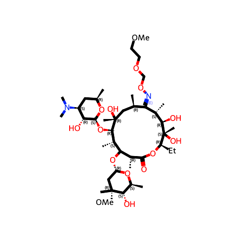 CC[C@H]1OC(=O)[C@H](C)C(O[C@H]2C[C@@](C)(OC)[C@@H](O)[C@H](C)O2)[C@H](C)[C@@H](O[C@@H]2O[C@H](C)C[C@H](N(C)C)[C@H]2O)[C@](C)(O)C[C@@H](C)/C(=N\OCOCCOC)[C@H](C)[C@@H](O)[C@]1(C)O